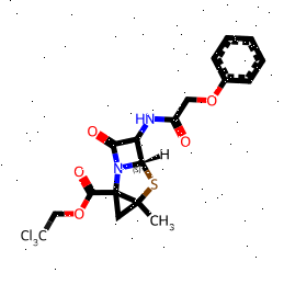 CC12CC1(C(=O)OCC(Cl)(Cl)Cl)N1C(=O)C(NC(=O)COc3ccccc3)[C@@H]1S2